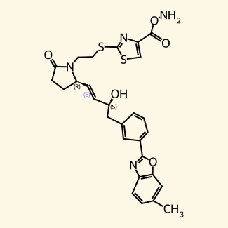 Cc1ccc2nc(-c3cccc(C[C@H](O)/C=C/[C@H]4CCC(=O)N4CCSc4nc(C(=O)ON)cs4)c3)oc2c1